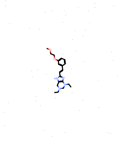 CCN1Cc2[nH]c(/C=C/c3cccc(OCCOC)c3)nc2N(CC)C1